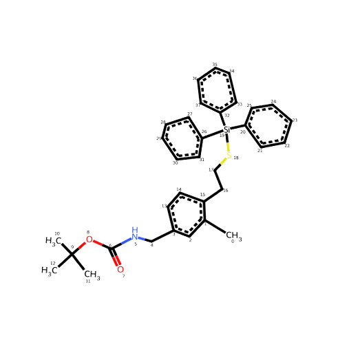 Cc1cc(CNC(=O)OC(C)(C)C)ccc1CCS[Si](c1ccccc1)(c1ccccc1)c1ccccc1